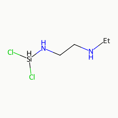 CCNCCN[SiH](Cl)Cl